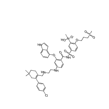 CC1(C)CCC(CNCCNc2ccc(C(=O)NS(=O)(=O)c3ccc(OCCCS(C)(=O)=O)c([N+](C)([O-])O)c3)c(Oc3cccc4[nH]ccc34)c2)=C(c2ccc(Cl)cc2)C1